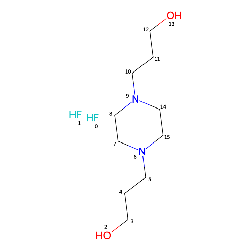 F.F.OCCCN1CCN(CCCO)CC1